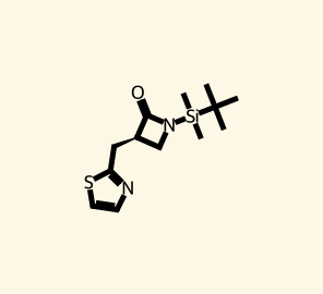 CC(C)(C)[Si](C)(C)N1C[C@@H](Cc2nccs2)C1=O